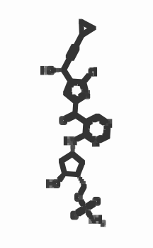 NS(=O)(=O)OC[C@H]1C[C@@H](Nc2ncncc2C(=O)c2cc([C@H](O)C#CC3CC3)c(Cl)s2)C[C@@H]1O